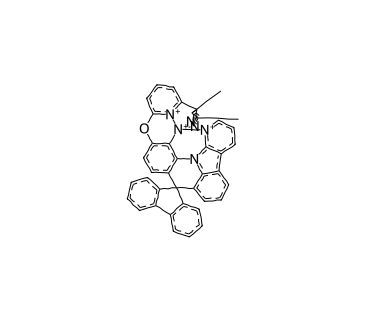 Cc1nn2c(c1C)-c1cccc3[n+]1[N+]21c2c(ccc4c2-n2c5c(cccc5c5ccc[n+]1c52)C41c2ccccc2-c2ccccc21)O3